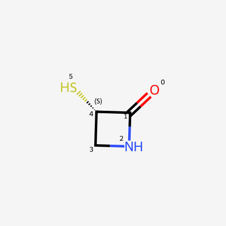 O=C1NC[C@@H]1S